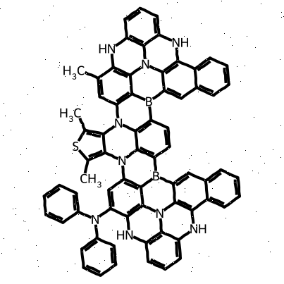 Cc1cc2c3c4c1Nc1cccc5c1N4c1c(cc4ccccc4c1N5)B3c1ccc3c4c1N2c1c(C)sc(C)c1N4c1cc(N(c2ccccc2)c2ccccc2)c2c4c1B3c1cc3ccccc3c3c1N4c1c(cccc1N3)N2